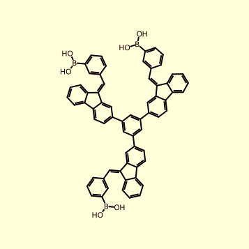 OB(O)c1cccc(/C=C2\c3ccccc3-c3ccc(-c4cc(-c5ccc6c(c5)/C(=C/c5cccc(B(O)O)c5)c5ccccc5-6)cc(-c5ccc6c(c5)/C(=C/c5cccc(B(O)O)c5)c5ccccc5-6)c4)cc32)c1